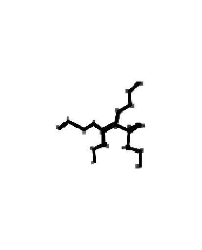 CCCC/C(OCC)=C(\CCCC)C(=O)OCC